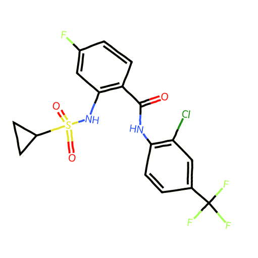 O=C(Nc1ccc(C(F)(F)F)cc1Cl)c1ccc(F)cc1NS(=O)(=O)C1CC1